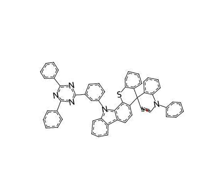 c1ccc(-c2nc(-c3ccccc3)nc(-c3cccc(-n4c5ccccc5c5ccc6c(c54)Sc4ccccc4C64c5ccccc5N(c5ccccc5)c5ccccc54)c3)n2)cc1